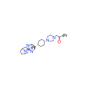 CC(C)C(=O)CN1CCN([C@H]2CC[C@@H](c3cnc(N4C5CCC4CN(C(C)C)C5)nc3)CC2)CC1